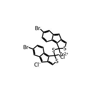 Brc1ccc2c(c1)=CC1=CS[C]3(S[C]4(SC=C5C=c6cc(Br)ccc6=C54)[Zr+2]3)C=21.[Cl-].[Cl-]